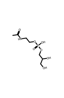 CC(=O)NCCOP(=O)(O)OCC(O)CO